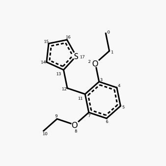 CCOc1cccc(OCC)c1Cc1cccs1